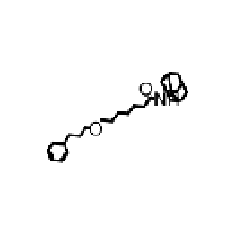 O=C(CCCCCCOCCCc1ccccc1)NC12CC3CC(CC(C3)C1)C2